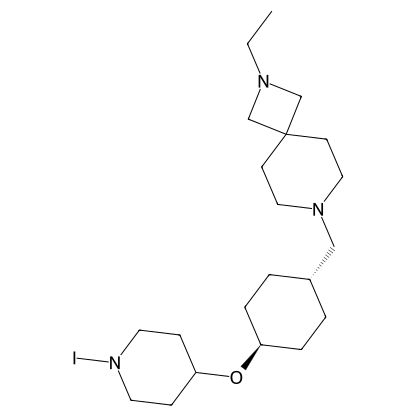 CCN1CC2(CCN(C[C@H]3CC[C@H](OC4CCN(I)CC4)CC3)CC2)C1